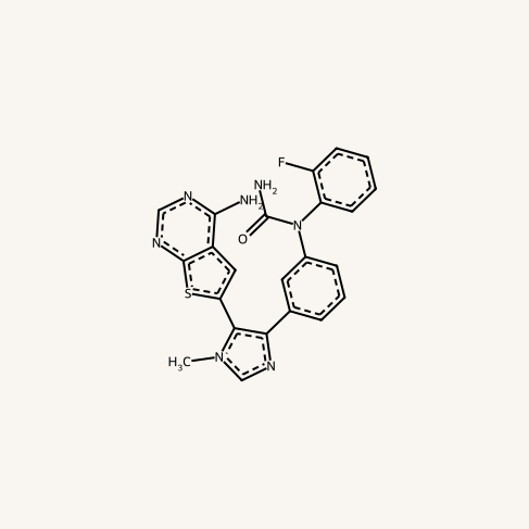 Cn1cnc(-c2cccc(N(C(N)=O)c3ccccc3F)c2)c1-c1cc2c(N)ncnc2s1